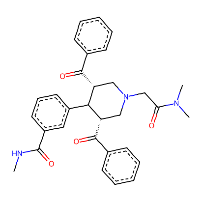 CNC(=O)c1cccc(C2[C@@H](C(=O)c3ccccc3)CN(CC(=O)N(C)C)C[C@H]2C(=O)c2ccccc2)c1